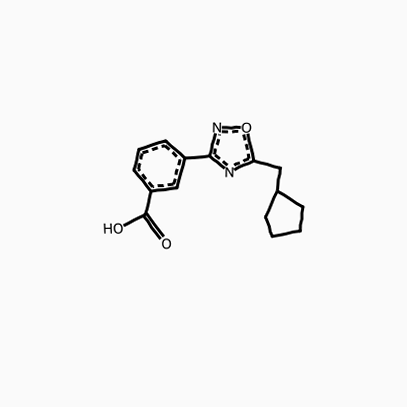 O=C(O)c1cccc(-c2noc(CC3CCCC3)n2)c1